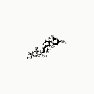 Nc1ccn([C@@]2(F)CO[C@](CCl)(CCP(=O)(O)OP(=O)(O)OP(=O)(O)O)[C@H]2O)c(=O)n1